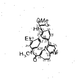 CCc1cccc(N(C)C(=O)c2ccc3ncc(-c4ccc(NC(=O)OC)cc4)n3c2)c1